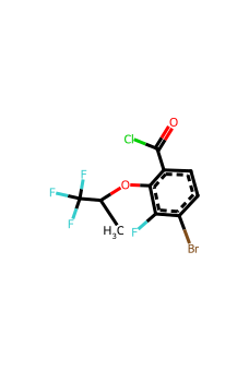 CC(Oc1c(C(=O)Cl)ccc(Br)c1F)C(F)(F)F